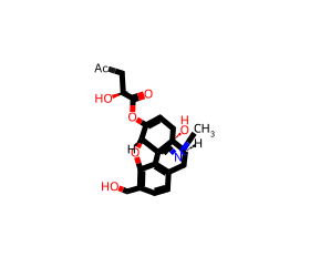 CC(=O)C[C@H](O)C(=O)OC1=CC[C@@]2(O)[C@H]3Cc4ccc(CO)c5c4[C@@]2(CCN3C)[C@H]1O5